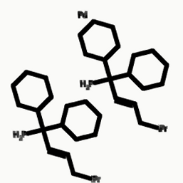 CC(C)CC=CC(P)(C1CCCCC1)C1CCCCC1.CC(C)CC=CC(P)(C1CCCCC1)C1CCCCC1.[Pd]